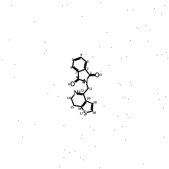 O=C1c2ccccc2C(=O)N1CC1=NCCc2sccc21